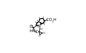 O=C(O)c1ccc2cc3n(c2c1)CC1(CC1)CNC3=O